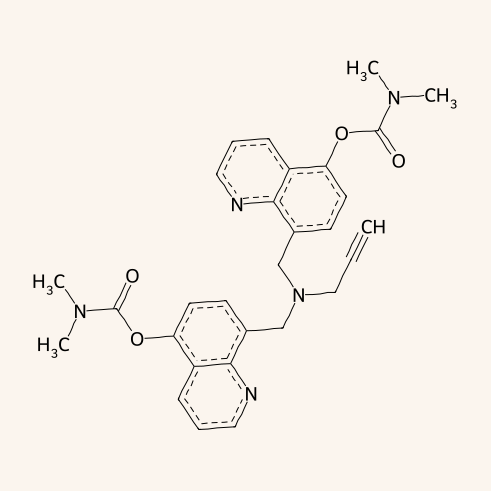 C#CCN(Cc1ccc(OC(=O)N(C)C)c2cccnc12)Cc1ccc(OC(=O)N(C)C)c2cccnc12